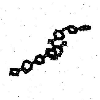 COc1ccc(CN2CCC(Nc3c(Cl)cnc4[nH]c(-c5ccc(N6CCN(c7ccncc7)CC6)cc5)nc34)CC2)cc1